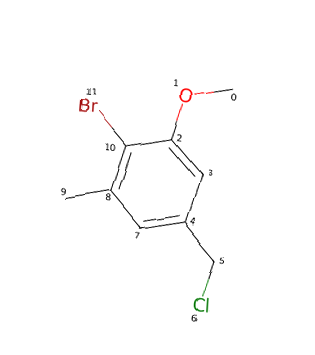 COc1cc(CCl)cc(C)c1Br